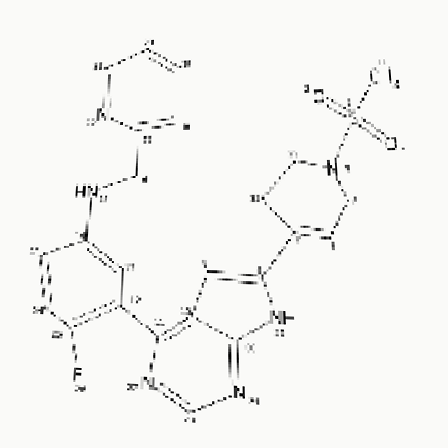 CS(=O)(=O)N1CC=C(c2cc3c(-c4cc(NCc5ccccn5)ccc4F)ncnc3[nH]2)CC1